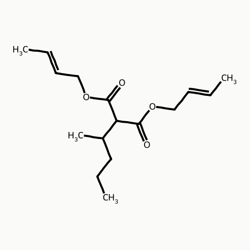 C/C=C/COC(=O)C(C(=O)OC/C=C/C)C(C)CCC